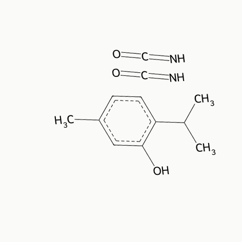 Cc1ccc(C(C)C)c(O)c1.N=C=O.N=C=O